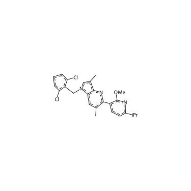 COc1nc(C(C)C)ccc1-c1nc2c(C)cn(Cc3c(Cl)cccc3Cl)c2cc1C